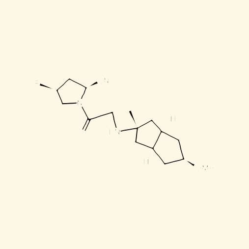 CO[C@@H]1C[C@@H]2C[C@@](C)(NCC(=O)N3C[C@@H](F)C[C@H]3C#N)C[C@@H]2C1